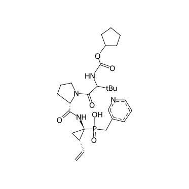 C=C[C@@H]1C[C@]1(NC(=O)[C@@H]1CCCN1C(=O)C(NC(=O)OC1CCCC1)C(C)(C)C)P(=O)(O)Cc1cccnc1